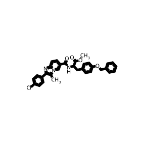 COC(=O)C(Cc1ccc(OCc2ccccc2)cc1)NC(=O)c1ccc2nc(-c3ccc(Cl)cc3)c(C)n2c1